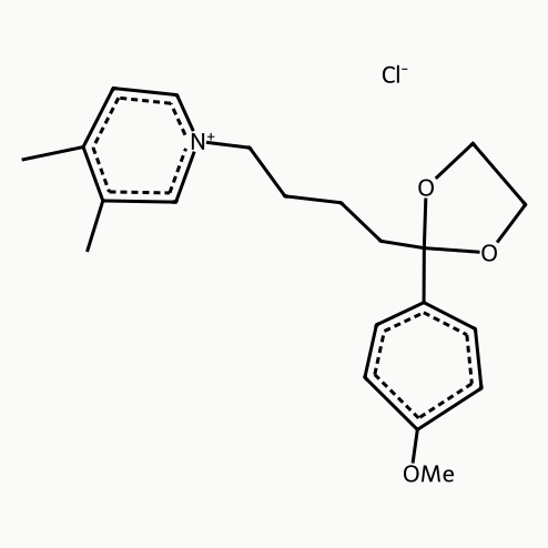 COc1ccc(C2(CCCC[n+]3ccc(C)c(C)c3)OCCO2)cc1.[Cl-]